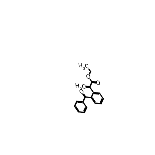 C=C(C(=O)OCC)c1ccccc1C(=O)c1ccccc1